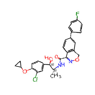 C[C@@H](NC(=O)C1=NOCc2cc(-c3ccc(F)cc3)ccc21)[C@H](O)c1ccc(OC2CC2)c(Cl)c1